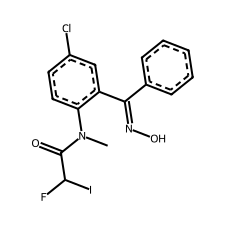 CN(C(=O)C(F)I)c1ccc(Cl)cc1C(=NO)c1ccccc1